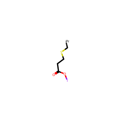 CC(C)CSCCC(=O)OI